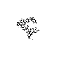 CCN1CCN(C(=O)N[C@@H](C(=O)N[C@@H]2C(=O)N3C(C(=O)OC(c4ccccc4)c4ccccc4)=C(CSc4nnnn4C)CS[C@@H]23)c2ccc(N)cc2)C(=O)C1=O.Cc1ccc(S(=O)(=O)O)cc1